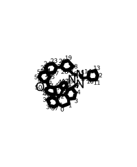 C1=Cc2ccc(-c3nc(-c4ccccc4)nc(-c4cccc(-c5ccccc5)c4)n3)cc2C2(c3ccccc31)c1ccccc1-c1c2ccc2oc3ccccc3c12